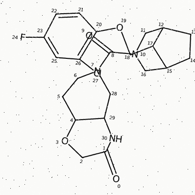 O=C1COC2CCN(C(=O)N3CC4CCC(C3)C4COc3ccc(F)cc3Cl)CC2N1